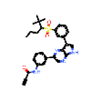 C#CC(=O)Nc1cccc(-c2cnc3[nH]cc(-c4cccc(S(=O)(=O)C(CCC)C(C)(C)C)c4)c3n2)c1